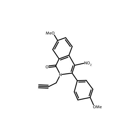 C#CCn1c(-c2ccc(OC)cc2)c([N+](=O)[O-])c2ccc(OC)cc2c1=O